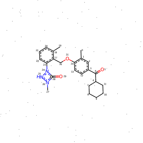 Cc1cc(C(=O)C2CCCCC2)ccc1OCc1c(C)cccc1-n1[nH]n(C)c1=O